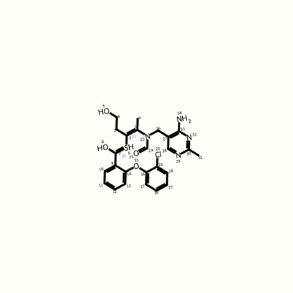 C/C(=C(CCO)/[SH]=C(\O)c1ccccc1Oc1ccccc1Cl)N(C=O)Cc1cnc(C)nc1N